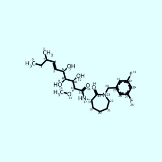 CCC(C)/C=C/[C@@H](O)[C@H](O)[C@@H](O)[C@@H](OC)C(=O)N[C@H]1CCCCN(Cc2cc(F)cc(F)c2)C1=O